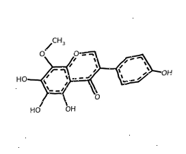 COc1c(O)c(O)c(O)c2c(=O)c(-c3ccc(O)cc3)coc12